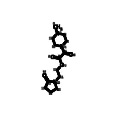 CN1CCN(C(=O)C(=O)OCCN2CCCC2=O)CC1